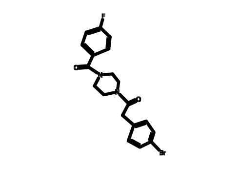 O=C(Cc1ccc(Br)cc1)N1CCN(C(=O)c2ccc(F)cc2)CC1